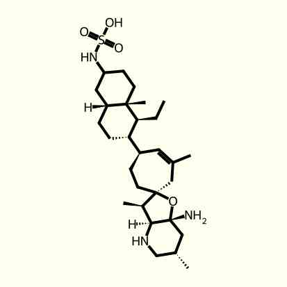 CC[C@H]1[C@H]([C@H]2C=C(C)C[C@]3(CC2)O[C@]2(N)C[C@H](C)CN[C@H]2[C@H]3C)CC[C@@H]2CC(NS(=O)(=O)O)CC[C@@]21C